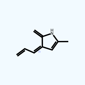 C=C/C=c1/cc(C)[nH]c1=C